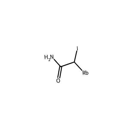 NC(=O)[CH]([Rb])I